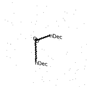 CCCCCCCCCCCCCCCCCCCCCCCCCCCCCC(=O)OCCCCCCCCCCCCCCCCCCCCCCC